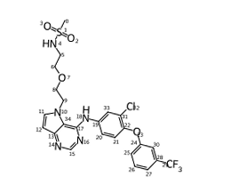 CS(=O)(=O)NCCOCCn1ccc2ncnc(Nc3ccc(Oc4cccc(C(F)(F)F)c4)c(Cl)c3)c21